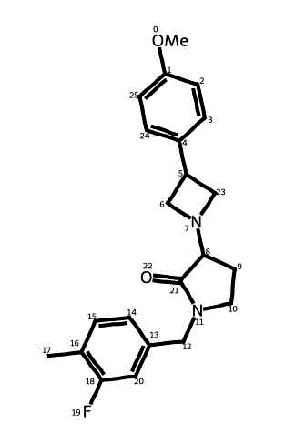 COc1ccc(C2CN(C3CCN(Cc4ccc(C)c(F)c4)C3=O)C2)cc1